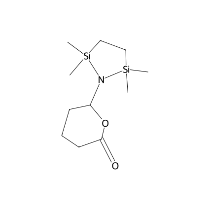 C[Si]1(C)CC[Si](C)(C)N1C1CCCC(=O)O1